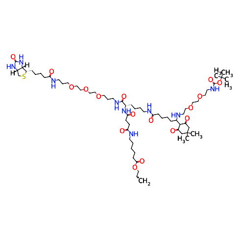 C=CCOC(=O)CCCCCNC(=O)CCC(=O)N[C@@H](CCCCNC(=O)CCCCC(NCCOCCOCCNC(=O)OC(C)(C)C)C1C(=O)CC(C)(C)CC1=O)C(=O)NCCCOCCOCCOCCCNC(=O)CCCC[C@@H]1SC[C@@H]2NC(=O)N[C@@H]21